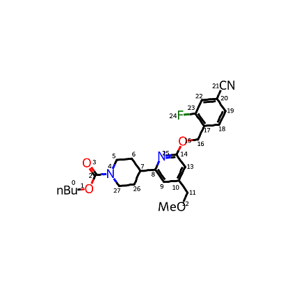 CCCCOC(=O)N1CCC(c2cc(COC)cc(OCc3ccc(C#N)cc3F)n2)CC1